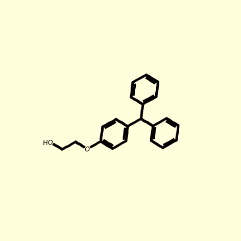 OCCOc1ccc(C(c2ccccc2)c2ccccc2)cc1